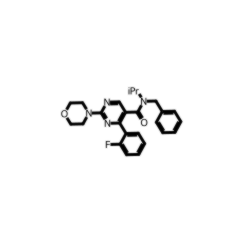 CC(C)N(Cc1ccccc1)C(=O)c1cnc(N2CCOCC2)nc1-c1ccccc1F